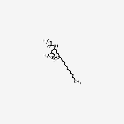 C=CC(=O)NC(CCCCCCCCCCCCCCCC)CC(C)CS(=O)(=O)O